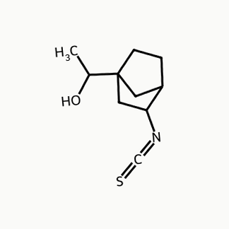 CC(O)C12CCC(C1)C(N=C=S)C2